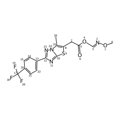 CO/N=C/OC(=O)Cc1sc2nc(-c3ccc(C(F)(F)F)cc3)nn2c1C